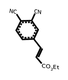 CCOC(=O)C=Cc1ccc(C#N)c(C#N)c1